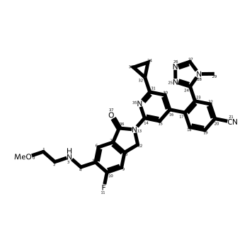 COCCNCc1cc2c(cc1F)CN(c1cc(-c3ccc(C#N)cc3-c3nncn3C)cc(C3CC3)n1)C2=O